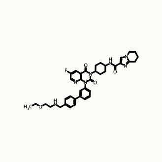 CCOCCNCc1ccc(-c2cccc(-n3c(=O)n(C4CCC(NC(=O)c5cn6c(n5)CCCC6)CC4)c(=O)c4cc(F)cnc43)c2)cc1